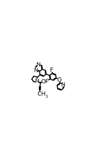 CC#CC(=O)N1CCCC1c1cc(-c2c(F)cc(Oc3ccccn3)cc2F)cc2cncnc12